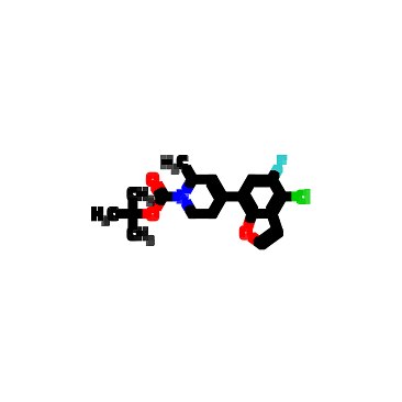 CC1C=C(c2cc(F)c(Cl)c3ccoc23)CCN1C(=O)OC(C)(C)C